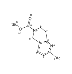 CC(=O)c1ccc2c(n1)CCN(C(=O)OC(C)(C)C)C2